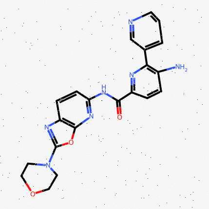 Nc1ccc(C(=O)Nc2ccc3nc(N4CCOCC4)oc3n2)nc1-c1cccnc1